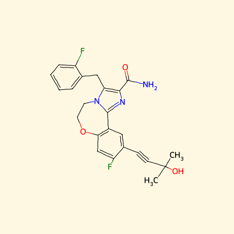 CC(C)(O)C#Cc1cc2c(cc1F)OCCn1c-2nc(C(N)=O)c1Cc1ccccc1F